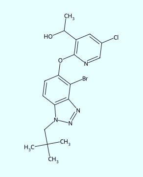 CC(O)c1cc(Cl)cnc1Oc1ccc2c(nnn2CC(C)(C)C)c1Br